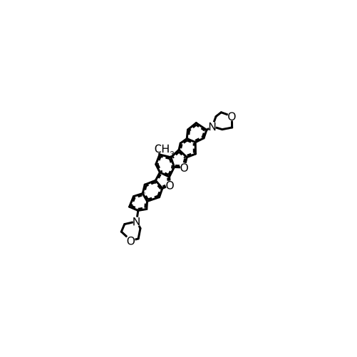 Cc1cc2c3cc4ccc(N5CCOCC5)cc4cc3oc2c2oc3cc4cc(N5CCOCC5)ccc4cc3c12